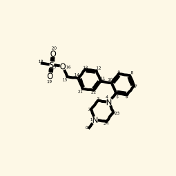 CN1CCN(c2ccccc2-c2ccc(COS(C)(=O)=O)cc2)CC1